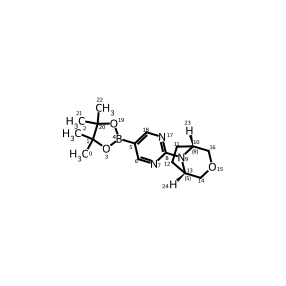 CC1(C)OB(c2cnc(N3[C@@H]4CC[C@H]3COC4)nc2)OC1(C)C